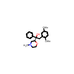 COc1ccc(OC)c(CC(O)(c2ccccc2)[C@@H]2CN(C)CCO2)c1